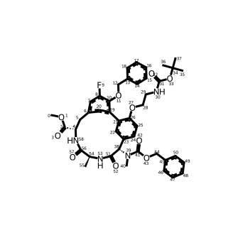 COC(=O)[C@@H]1Cc2cc(F)c(OCc3ccccc3)c(c2)-c2cc(ccc2OCCNC(=O)OC(C)(C)C)[C@H](N(C)C(=O)OCc2ccccc2)C(=O)N[C@@H](C)C(=O)N1